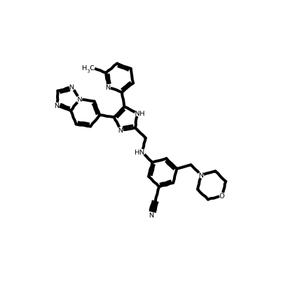 Cc1cccc(-c2[nH]c(CNc3cc(C#N)cc(CN4CCOCC4)c3)nc2-c2ccc3ncnn3c2)n1